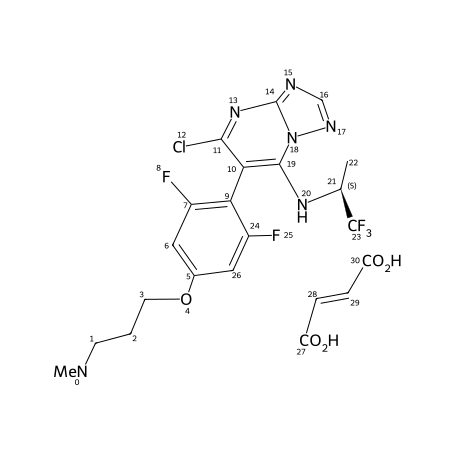 CNCCCOc1cc(F)c(-c2c(Cl)nc3ncnn3c2N[C@@H](C)C(F)(F)F)c(F)c1.O=C(O)C=CC(=O)O